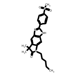 CCCCCN1C(=O)C(C)(C)c2cc3nc(-c4ccc(S(C)(=O)=O)cc4)[nH]c3cc21